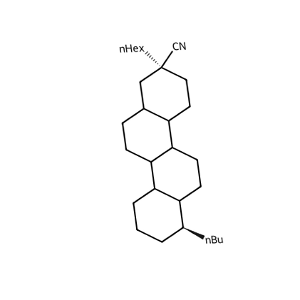 CCCCCC[C@]1(C#N)CCC2C(CCC3C2CCC2C3CCC[C@@H]2CCCC)C1